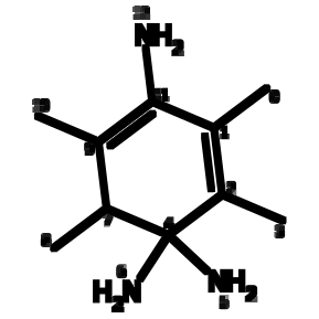 CC1=C(C)C(N)(N)C(C)C(C)=C1N